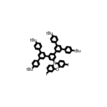 CC(C)(C)c1ccc(-c2cc(-c3ccc(C(C)(C)C)cc3)cc(-c3cc(-c4cc(-c5ccc(C(C)(C)C)cc5)cc(-c5ccc(C(C)(C)C)cc5)c4)cc(N4c5ccc(I)cc5Oc5cc(I)ccc54)c3)c2)cc1